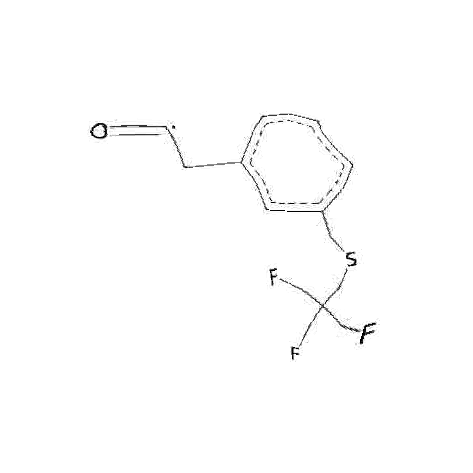 O=[C]Cc1cccc(SC(F)(F)F)c1